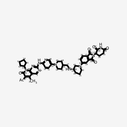 CC(=O)c1c(C)c2cnc(Nc3ccc(N4CCC(CN[C@@H]5CCCN(c6ccc7c(c6)C(=O)N(C6CCC(=O)NC6=O)C7=O)C5)CC4)cn3)nc2n(C2CCCC2)c1=O